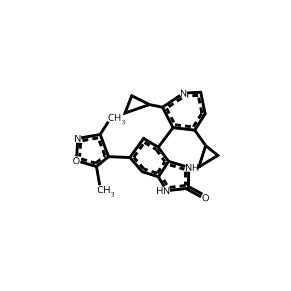 Cc1noc(C)c1-c1cc(-c2c(C3CC3)ccnc2C2CC2)c2[nH]c(=O)[nH]c2c1